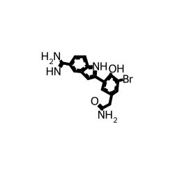 N=C(N)c1ccc2[nH]c(-c3cc(CC(N)=O)cc(Br)c3O)cc2c1